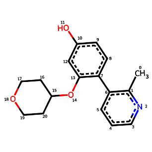 Cc1ncccc1-c1ccc(O)cc1OC1CCOCC1